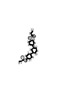 C=CC(=O)Oc1ccc(-c2cccc(-c3ccc(OC(=O)C=C)cc3)c2)cc1